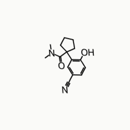 CN(C)C(=O)C1(c2cc(C#N)ccc2O)CCCC1